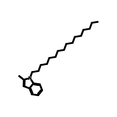 CCCCCCCCCCCCCCCCn1c(C)cc2ccccc21